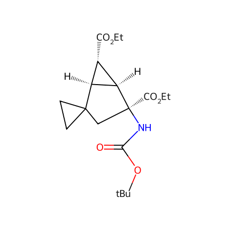 CCOC(=O)[C@H]1[C@H]2[C@@H]1[C@](NC(=O)OC(C)(C)C)(C(=O)OCC)CC21CC1